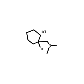 CN(C)CC1(O)CCCCC1.Cl